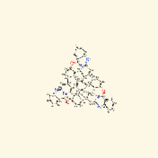 O=c1c2ccccc2nc2cc(-c3ccccc3-c3cc(-c4ccccc4-c4ccn5c(=O)c6ccccc6nc5c4)cc(-c4ccccc4-c4ccn5c(=O)c6ccccc6nc5c4)c3)ccn12